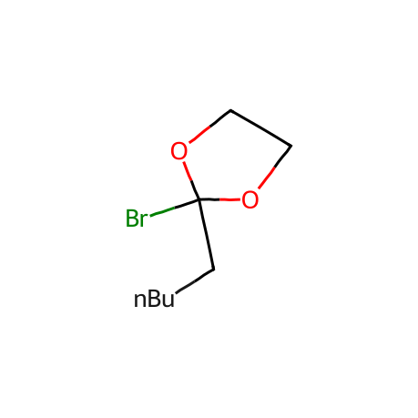 CCCCCC1(Br)OCCO1